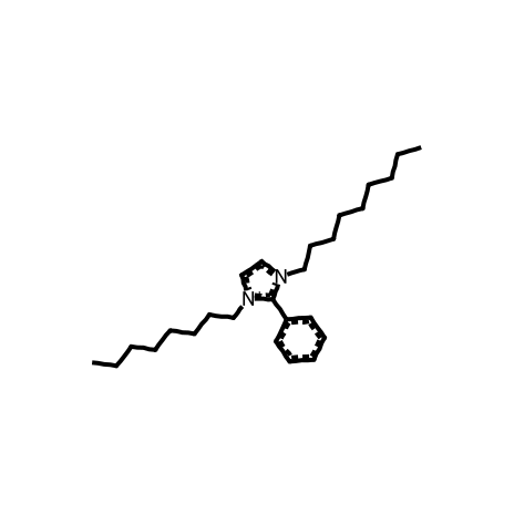 CCCCCCCCCn1cc[n+](CCCCCCCC)c1-c1ccccc1